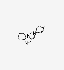 Cc1ccc(N2C=C3C=NC4=C(CCCC4)N3C2)cc1